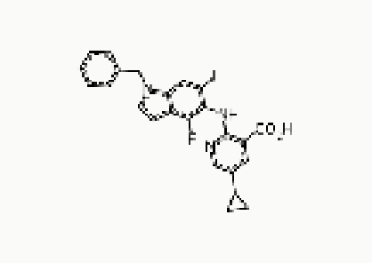 O=C(O)c1cc(C2CC2)cnc1Nc1c(F)cc2c(ccn2Cc2ccccc2)c1F